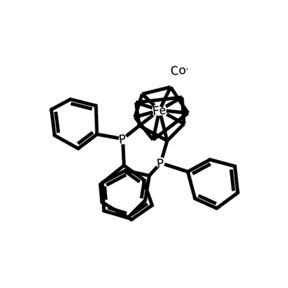 [Co].c1ccc(P(c2ccccc2)[C]23[CH]4[CH]5[CH]6[C]2(P(c2ccccc2)c2ccccc2)[Fe]54632789[CH]3[CH]2[CH]7[CH]8[CH]39)cc1